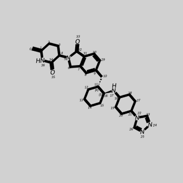 C=C1CCC(N2Cc3cc(C[C@H]4CCCC[C@@H]4NC4CCC(n5cnnc5)CC4)ccc3C2=O)C(=O)N1